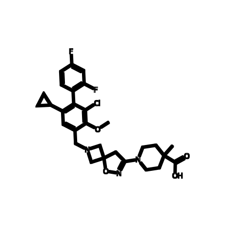 COc1c(CN2CC3(CC(N4CCC(C)(C(=O)O)CC4)=NO3)C2)cc(C2CC2)c(-c2ccc(F)cc2F)c1Cl